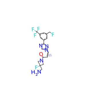 NCC1(F)CN(C(=O)/C=C\n2cnc(-c3cc(CF)cc(C(F)(F)F)c3)n2)C1